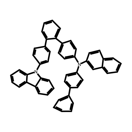 c1ccc(-c2ccc(N(c3ccc(-c4ccccc4-c4ccc(-n5c6ccccc6c6ccccc65)cc4)cc3)c3ccc4ccccc4c3)cc2)cc1